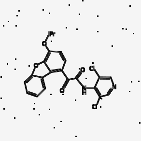 CC(C)Oc1ccc(C(=O)C(=O)Nc2c(Cl)cncc2Cl)c2c1oc1ccccc12